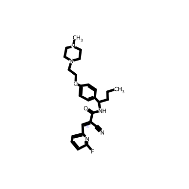 CCCC(NC(=O)/C(C#N)=C/c1cccc(F)n1)c1ccc(OCCN2CCN(C)CC2)cc1